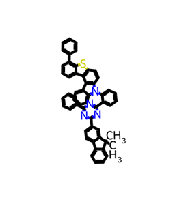 CC1(C)c2ccccc2-c2ccc(-c3nc(-c4ccccc4)nc(-c4ccccc4-n4c5ccccc5c5c6c(ccc54)sc4c(-c5ccccc5)cccc46)n3)cc21